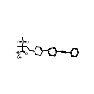 CC(CCN1CC=C(c2ccc(C#Cc3ccccc3)cc2)CC1)(C(=O)NO)S(C)(=O)=O